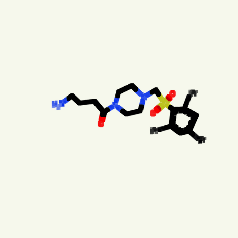 CC(C)c1cc(C(C)C)c(S(=O)(=O)CN2CCN(C(=O)CCCN)CC2)c(C(C)C)c1